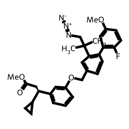 COC(=O)C[C@@H](c1cccc(OCc2ccc(-c3cc(OC)ccc3F)c(C(C)(C)CN=[N+]=[N-])c2)c1)C1CC1